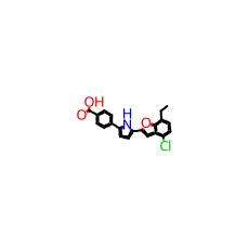 CCc1ccc(Cl)c2cc(-c3ccc(-c4ccc(C(=O)O)cc4)[nH]3)oc12